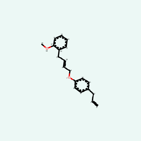 C=CCc1ccc(OC/C=C/Cc2ccccc2OC)cc1